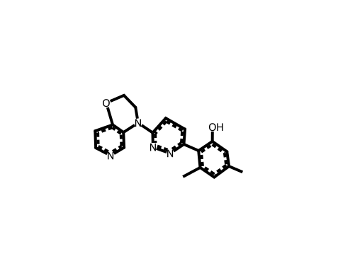 Cc1cc(C)c(-c2ccc(N3CCOc4ccncc43)nn2)c(O)c1